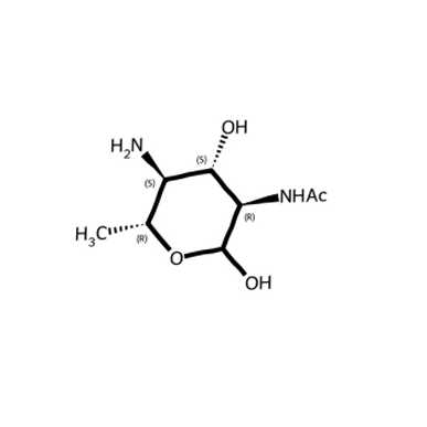 CC(=O)N[C@H]1C(O)O[C@H](C)[C@@H](N)[C@@H]1O